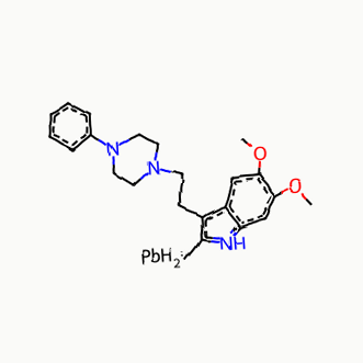 COc1cc2[nH]c(C)c(CCN3CCN(c4ccccc4)CC3)c2cc1OC.[PbH2]